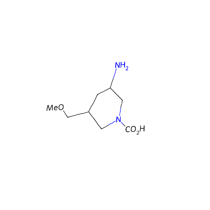 COCC1CC(N)CN(C(=O)O)C1